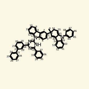 CC1(c2ccc3c(c2)c2ccccc2n3C2N=C(c3cccc(-c4ccccc4)c3)N=C(c3ccccc3)N2)C=c2c(n(-c3ccccc3)c3ccccc23)=CC1